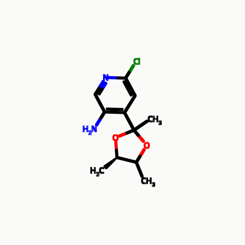 CC1OC(C)(c2cc(Cl)ncc2N)O[C@@H]1C